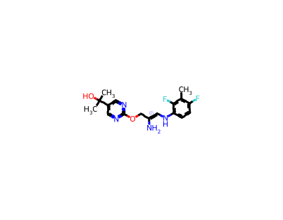 Cc1c(F)ccc(N/C=C(\N)COc2ncc(C(C)(C)O)cn2)c1F